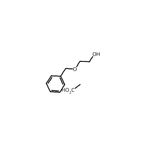 CC(=O)O.OCCOCc1ccccc1